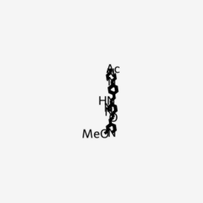 COc1cc(COc2ccc(NCc3ccc(N4CCN(C(C)=O)CC4)cc3)nn2)ccn1